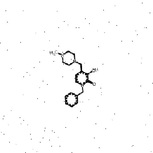 CN1CCN(Cc2ccn(Cc3ccccc3)c(=O)c2O)CC1